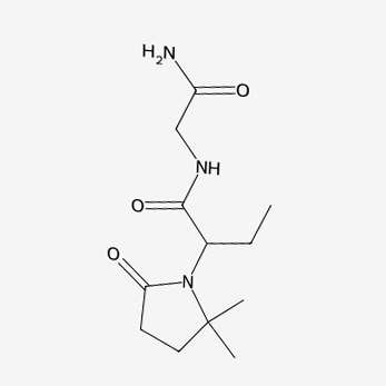 CCC(C(=O)NCC(N)=O)N1C(=O)CCC1(C)C